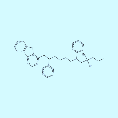 CCCC(Br)(Br)CC(CCCCC(Cc1cccc2c1Cc1ccccc1-2)c1ccccc1)c1ccccc1